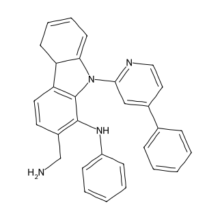 NCc1ccc2c(c1Nc1ccccc1)N(c1cc(-c3ccccc3)ccn1)C1=CC=CCC12